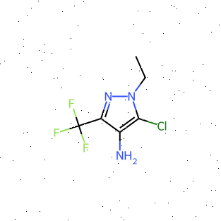 CCn1nc(C(F)(F)F)c(N)c1Cl